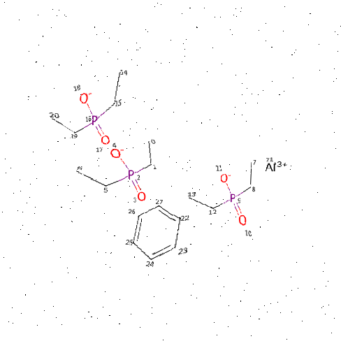 CCP(=O)([O-])CC.CCP(=O)([O-])CC.CCP(=O)([O-])CC.[Al+3].c1ccccc1